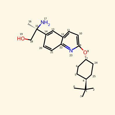 CC(C)(C)[C@H]1CC[C@H](Oc2ccc3cc([C@](C)(N)CO)ccc3n2)CC1